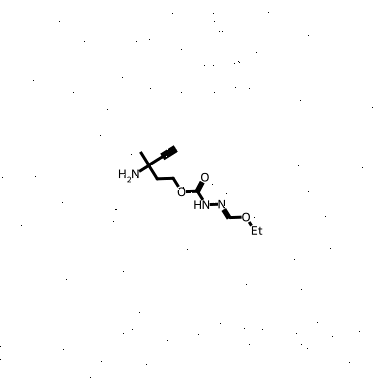 C#CC(C)(N)CCOC(=O)N/N=C/OCC